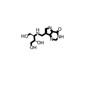 O=C1NCN=C2C(CN[C@H](CO)[C@H](O)CO)=CN=C12